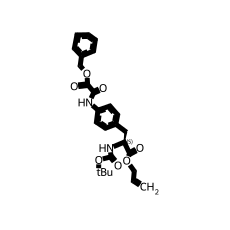 C=CCOC(=O)[C@H](Cc1ccc(NC(=O)C(=O)OCc2ccccc2)cc1)NC(=O)OC(C)(C)C